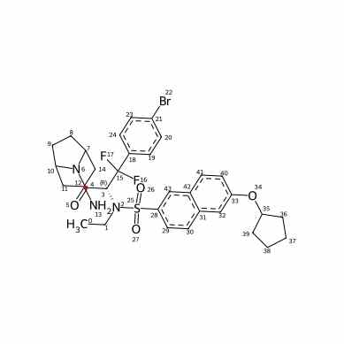 CCN([C@H](C(=O)N1C2CCC1CC(N)C2)C(F)(F)c1ccc(Br)cc1)S(=O)(=O)c1ccc2cc(OC3CCCC3)ccc2c1